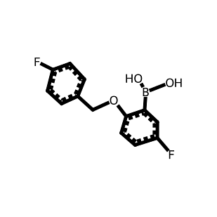 OB(O)c1cc(F)ccc1OCc1ccc(F)cc1